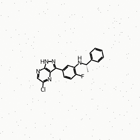 C[C@H](Nc1cc(-c2n[nH]c3ncc(Cl)nc23)ccc1F)c1ccccc1